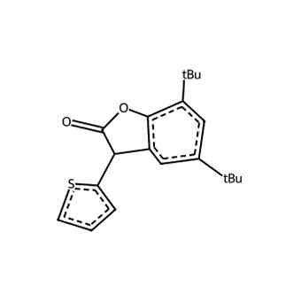 CC(C)(C)c1cc2c(c(C(C)(C)C)c1)OC(=O)C2c1cccs1